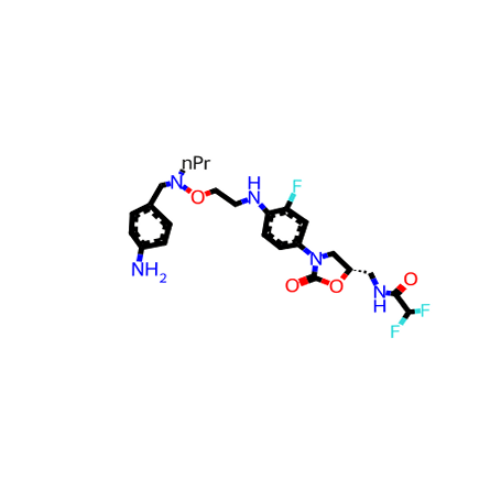 CCCN(Cc1ccc(N)cc1)OCCNc1ccc(N2C[C@H](CNC(=O)C(F)F)OC2=O)cc1F